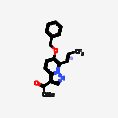 COC(=O)c1cnn2c(/C=C/C(F)(F)F)c(OCc3ccccc3)ccc12